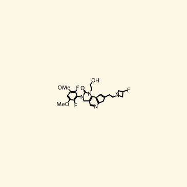 COc1cc(OC)c(F)c(N2Cc3cnc4c(c3N(CCO)C2=O)C=C(CCN2CC(F)C2)C4)c1F